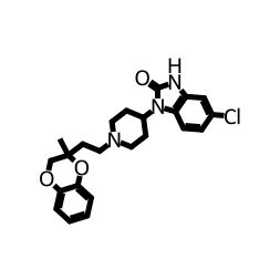 CC1(CCN2CCC(n3c(=O)[nH]c4cc(Cl)ccc43)CC2)COc2ccccc2O1